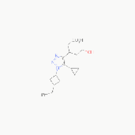 CC(C)CC1CC(n2nnc(C(CCO)CC(=O)O)c2C2CC2)C1